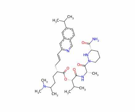 CC(C)c1ccc2cnc(/C=C/C[C@@H](CCC(C)N(C)C)C(=O)O[C@H](C(=O)N[C@@H](C)C(=O)N3CCC[C@@H](C(N)=O)N3)C(C)C)cc2c1